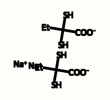 CCC(S)(S)C(=O)[O-].CCC(S)(S)C(=O)[O-].[Na+].[Na+]